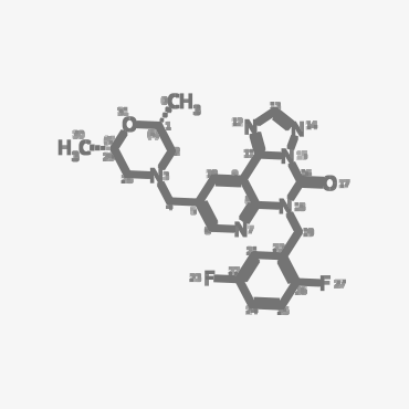 C[C@@H]1CN(Cc2cnc3c(c2)c2ncnn2c(=O)n3Cc2cc(F)ccc2F)C[C@H](C)O1